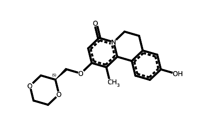 Cc1c(OC[C@@H]2COCCO2)cc(=O)n2c1-c1ccc(O)cc1CC2